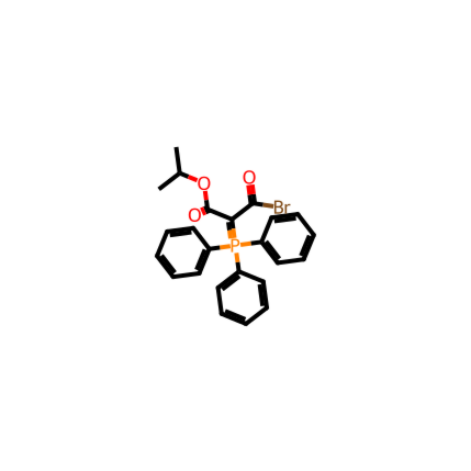 CC(C)OC(=O)C(C(=O)Br)=P(c1ccccc1)(c1ccccc1)c1ccccc1